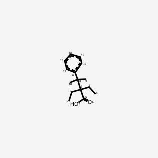 CCC(CC)(C(=O)O)C(C)(C)c1ccccc1